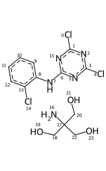 Clc1nc(Cl)nc(Nc2ccccc2Cl)n1.NC(CO)(CO)CO